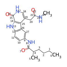 CCCCC(C)C(=O)Nc1ccc2[nH]c3c(=O)[nH]cc(CC(=O)NC)c3c2c1